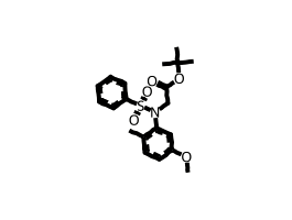 COc1ccc(C)c(N(CC(=O)OC(C)(C)C)S(=O)(=O)c2ccccc2)c1